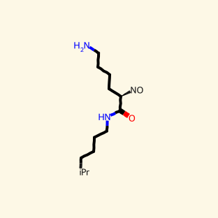 CC(C)CCCCNC(=O)[C@@H](CCCCN)N=O